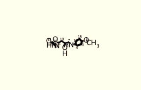 COc1ccc(NCC(O)Cc2n[nH]c(=O)o2)cc1